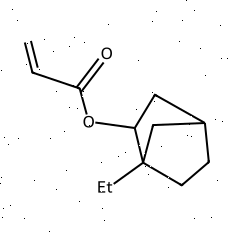 C=CC(=O)OC1CC2CCC1(CC)C2